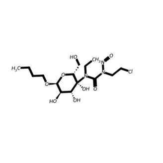 CCCCO[C@H]1O[C@H](CO)[C@@](O)(N(CC)C(=O)N(CCCl)N=O)[C@H](O)[C@H]1O